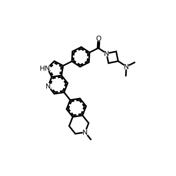 CN1CCc2cc(-c3cnc4[nH]cc(-c5ccc(C(=O)N6CC(N(C)C)C6)cc5)c4c3)ccc2C1